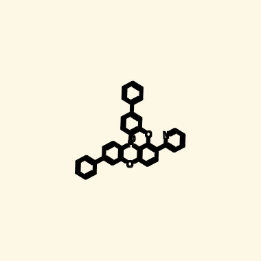 O=P12c3ccc(-c4ccccc4)cc3Oc3ccc(-c4ccccn4)c(c31)Oc1cc(-c3ccccc3)ccc12